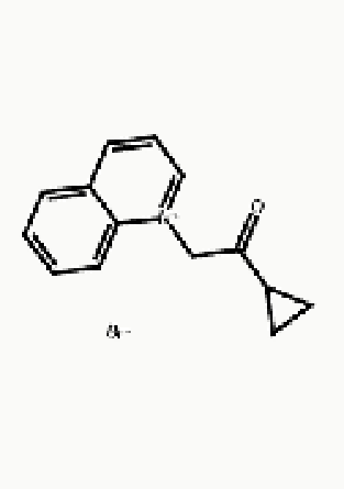 O=C(C[n+]1cccc2ccccc21)C1CC1.[Br-]